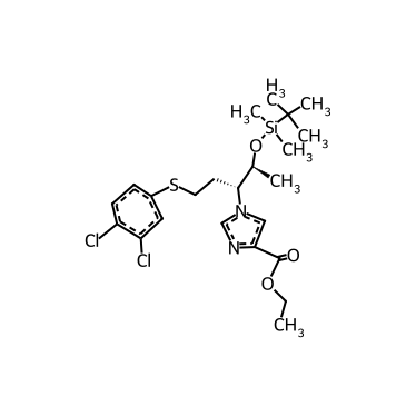 CCOC(=O)c1cn([C@H](CCSc2ccc(Cl)c(Cl)c2)[C@H](C)O[Si](C)(C)C(C)(C)C)cn1